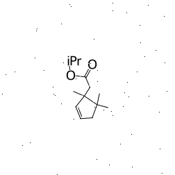 CC(C)OC(=O)CC1(C)C=CCC1(C)C